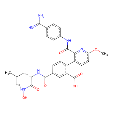 COc1ccc(-c2ccc(C(=O)N[C@@H](CC(C)C)C(=O)NO)cc2C(=O)O)c(C(=O)Nc2ccc(C(=N)N)cc2)n1